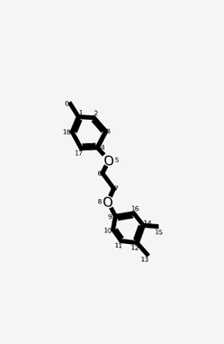 Cc1ccc(OCCOc2ccc(C)c(C)c2)cc1